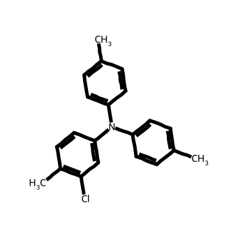 Cc1ccc(N(c2ccc(C)cc2)c2ccc(C)c(Cl)c2)cc1